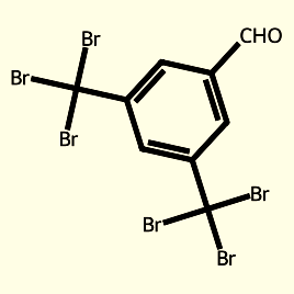 O=Cc1cc(C(Br)(Br)Br)cc(C(Br)(Br)Br)c1